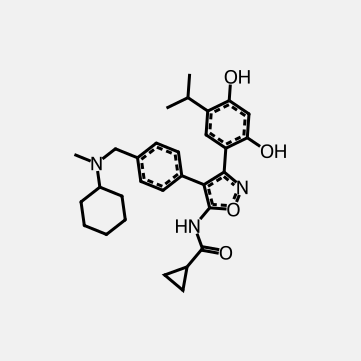 CC(C)c1cc(-c2noc(NC(=O)C3CC3)c2-c2ccc(CN(C)C3CCCCC3)cc2)c(O)cc1O